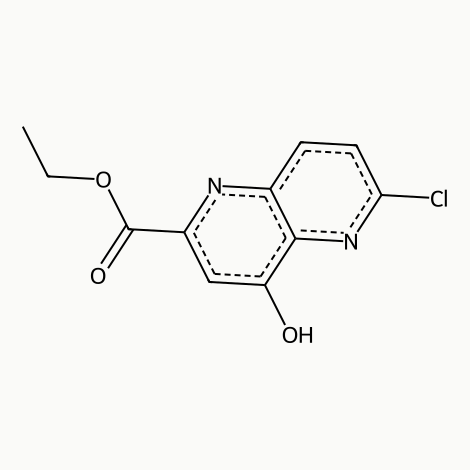 CCOC(=O)c1cc(O)c2nc(Cl)ccc2n1